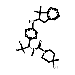 CN(C(=O)N1CCC(C)(O)CC1)[C@@H](c1ccc(NC2Cc3ccccc3C2(C)C)cc1)C(F)(F)F